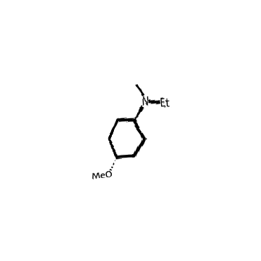 CCN(C)[C@H]1CC[C@H](OC)CC1